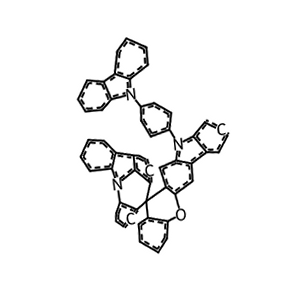 c1ccc2c(c1)Oc1cc3c4ccccc4n(-c4ccc(-n5c6ccccc6c6ccccc65)cc4)c3cc1C21c2ccccc2-n2c3ccccc3c3cccc1c32